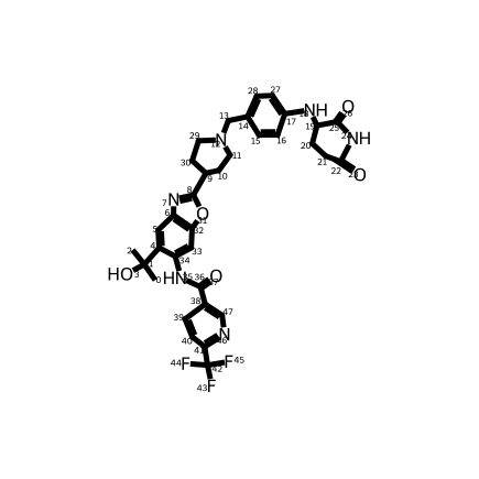 CC(C)(O)c1cc2nc(C3CCN(Cc4ccc(NC5CCC(=O)NC5=O)cc4)CC3)oc2cc1NC(=O)c1ccc(C(F)(F)F)nc1